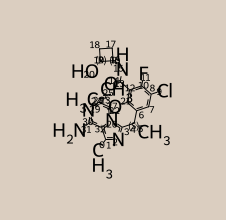 Cc1nc([C@@H](C)c2cc(Cl)c(F)c(C(=O)N[C@@H]3CC[C@H]3O)c2OC(C)C)n2ccnc(N)c12